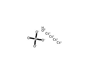 O.[Cs+].[Cs+].[Cs+].[Cs+].[O-][Si]([O-])([O-])[O-]